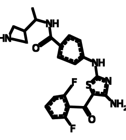 CC(NC(=O)c1ccc(Nc2nc(N)c(C(=O)c3c(F)cccc3F)s2)cc1)C1CNC1